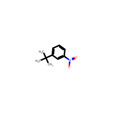 CC(C)(C)c1c[c]cc([N+](=O)[O-])c1